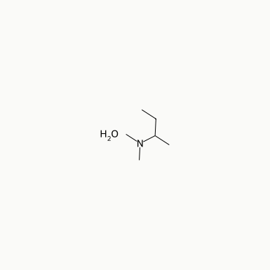 CCC(C)N(C)C.O